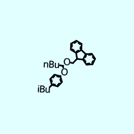 CCCCC(OCC1c2ccccc2-c2ccccc21)Oc1ccc(C(C)CC)cc1